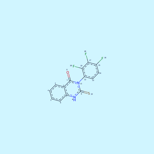 O=c1c2ccccc2[nH]c(=S)n1-c1ccc(F)c(F)c1F